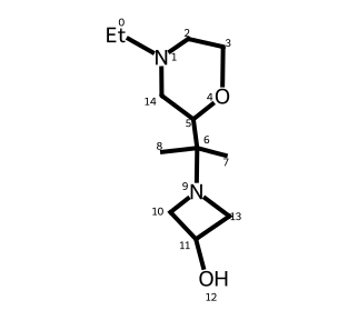 CCN1CCOC(C(C)(C)N2CC(O)C2)C1